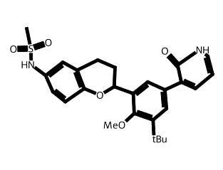 COc1c(C2CCc3cc(NS(C)(=O)=O)ccc3O2)cc(-c2ccc[nH]c2=O)cc1C(C)(C)C